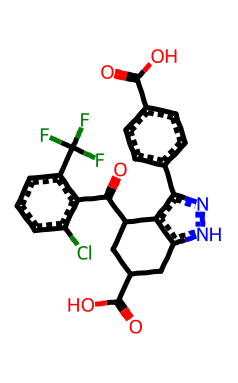 O=C(O)c1ccc(-c2n[nH]c3c2C(C(=O)c2c(Cl)cccc2C(F)(F)F)CC(C(=O)O)C3)cc1